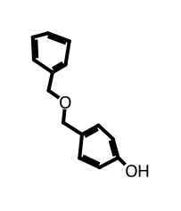 Oc1ccc(COCc2ccccc2)cc1